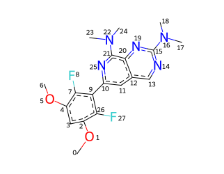 COc1cc(OC)c(F)c(-c2cc3cnc(N(C)C)nc3c(N(C)C)n2)c1F